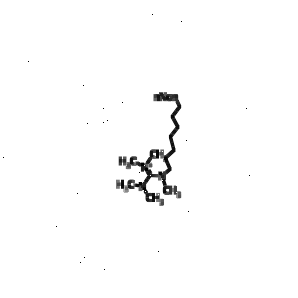 CCCCCCCCCCCCCCCCN(C)C(N(C)C)=[N+](C)C